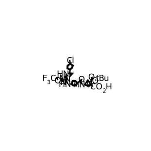 CC(C)(C)OC(=O)N1C[C@@H](NC(=O)c2ccc(Nc3nc(NC4(c5ccc(Cl)cc5)CC4)nc(OCC(F)(F)F)n3)cc2)C[C@@H]1C(=O)O